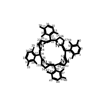 Cc1ccc(C)c(-c2c3nc(c(-c4c(C)ccc(C)c4C)c4ccc([nH]4)c(-c4c(C)ccc(C)c4C)c4nc(c(-c5c(C)ccc(C)c5C)c5ccc2[nH]5)CC4)CC3)c1C